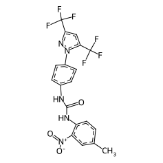 Cc1ccc(NC(=O)Nc2ccc(-n3nc(C(F)(F)F)cc3C(F)(F)F)cc2)c([N+](=O)[O-])c1